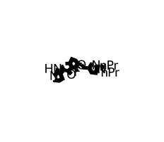 CCCN(CCC)c1ccc(COc2ccc(C)c(C(=O)c3c[nH]c4ncccc34)c2F)cn1